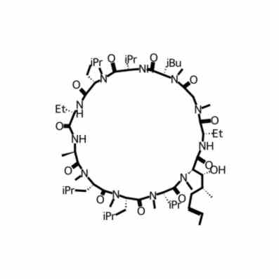 C/C=C/C[C@@H](C)[C@@H](O)[C@H]1C(=O)N[C@@H](CC)C(=O)N(C)CC(=O)N(C)[C@@H](C(C)CC)C(=O)N[C@@H](C(C)C)C(=O)N(C)[C@@H](CC(C)C)C(=O)N[C@@H](CC)C(=O)N[C@H](C)C(=O)N(C)[C@@H](CC(C)C)C(=O)N(C)[C@@H](CC(C)C)C(=O)N(C)[C@@H](C(C)C)C(=O)N1C